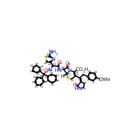 COc1ccc(CC(=C2CCNC2=O)C2=C(C(=O)O)N3C(=O)[C@@H](NC(=O)C(=NOC(c4ccccc4)(c4ccccc4)c4ccccc4)c4csc(N)n4)[C@H]3SC2)cc1